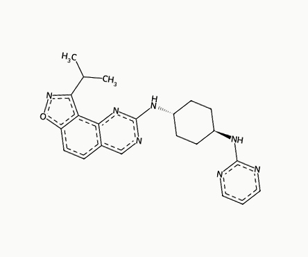 CC(C)c1noc2ccc3cnc(N[C@H]4CC[C@H](Nc5ncccn5)CC4)nc3c12